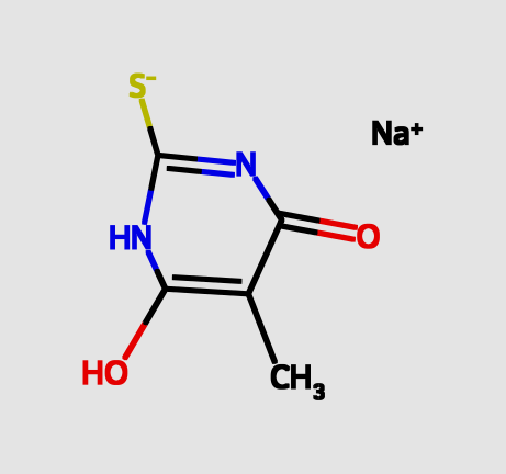 Cc1c(O)[nH]c([S-])nc1=O.[Na+]